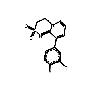 O=S1(=O)CCN2C=CC=C(c3ccc(F)c(Cl)c3)C2=N1